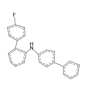 Fc1ccc(-c2ccccc2Nc2ccc(-c3ccccc3)cc2)cc1